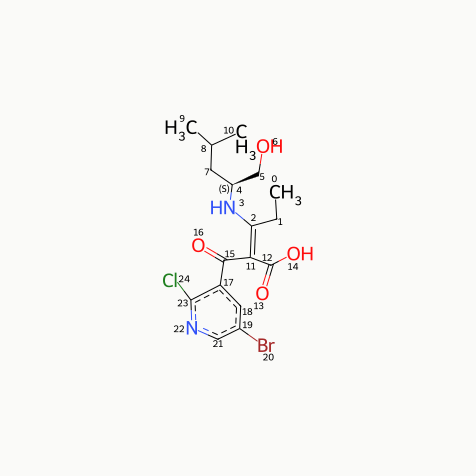 CCC(N[C@H](CO)CC(C)C)=C(C(=O)O)C(=O)c1cc(Br)cnc1Cl